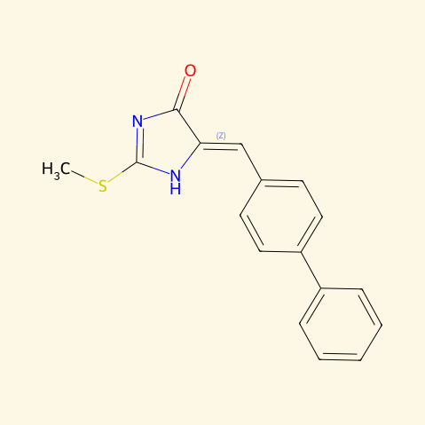 CSC1=NC(=O)/C(=C/c2ccc(-c3ccccc3)cc2)N1